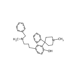 CN1CCC(c2ccccc2)(c2cc(CCCN(C)Cc3ccccc3)ccc2O)CC1